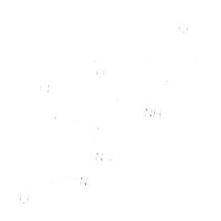 CC(C)(CCl)NC(=O)c1nnc(Cl)cc1Cl